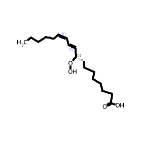 CCCCC/C=C\C=C\[C@H](CCCCCCCC(=O)O)OO